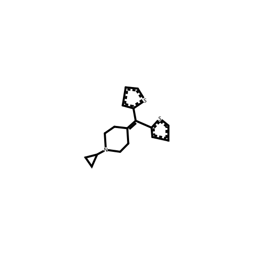 c1csc(C(=C2CCN(C3CC3)CC2)c2cccs2)c1